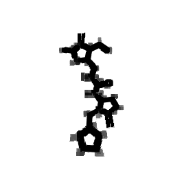 CCC1NC(C)SC1CNC(=O)NC1CCNN1CC1CCCS1